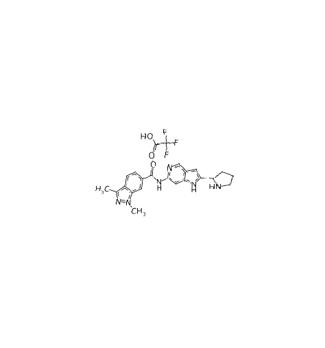 Cc1nn(C)c2cc(C(=O)Nc3cc4[nH]c(C5CCCN5)cc4cn3)ccc12.O=C(O)C(F)(F)F